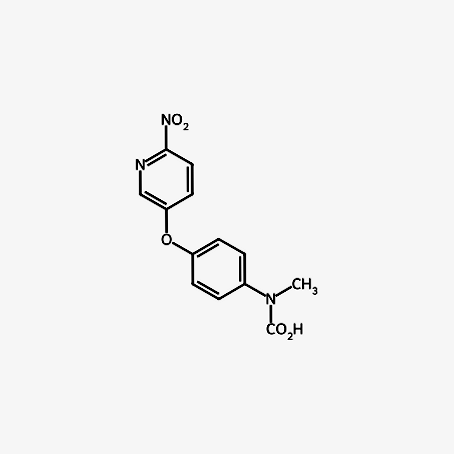 CN(C(=O)O)c1ccc(Oc2ccc([N+](=O)[O-])nc2)cc1